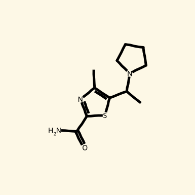 Cc1nc(C(N)=O)sc1C(C)N1CCCC1